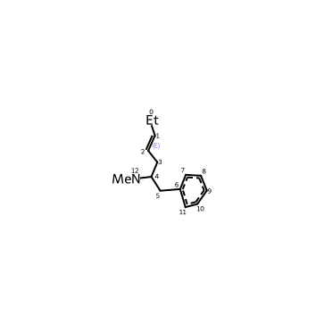 CC/C=C/CC(Cc1ccccc1)NC